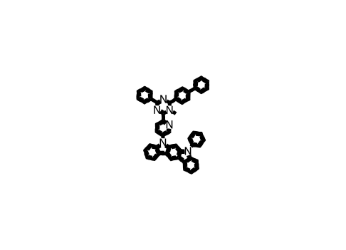 CN1C(c2ccc(-n3c4ccccc4c4cc5c6ccccc6n(-c6ccccc6)c5cc43)cn2)=NC(c2ccccc2)=NC1c1ccc(-c2ccccc2)cc1